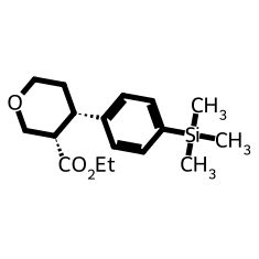 CCOC(=O)[C@@H]1COCC[C@@H]1c1ccc([Si](C)(C)C)cc1